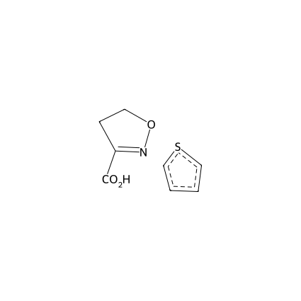 O=C(O)C1=NOCC1.c1ccsc1